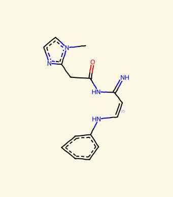 Cn1ccnc1CC(=O)NC(=N)/C=C\Nc1ccccc1